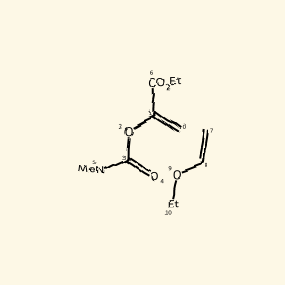 C=C(OC(=O)NC)C(=O)OCC.C=COCC